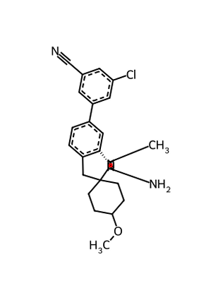 COC1CCC2(CC1)Cc1ccc(-c3cc(Cl)cc(C#N)c3)cc1[C@]21N=C(C)C(N)=N1